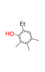 CCc1cc(C)c(C)c(C)c1O